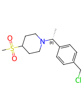 C[C@H](c1ccc(CCl)cc1)N1CCC(S(C)(=O)=O)CC1